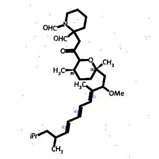 COC(C[C@]1(C)CC[C@@H](C)C(C(=O)CC2(C=O)CCCCN2C=O)O1)/C(C)=C/C=C/C=C/C(C)CC(C)C